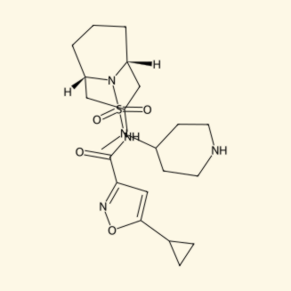 CN(C1CCNCC1)S(=O)(=O)N1[C@@H]2CCC[C@H]1CC(NC(=O)c1cc(C3CC3)on1)C2